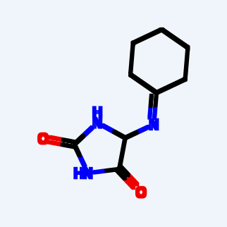 O=C1NC(=O)C(N=C2CCCCC2)N1